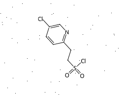 O=S(=O)(Cl)CCc1ccc(Cl)cn1